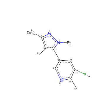 CCn1nc(C=O)c(C)c1-c1cnc(C)c(F)c1